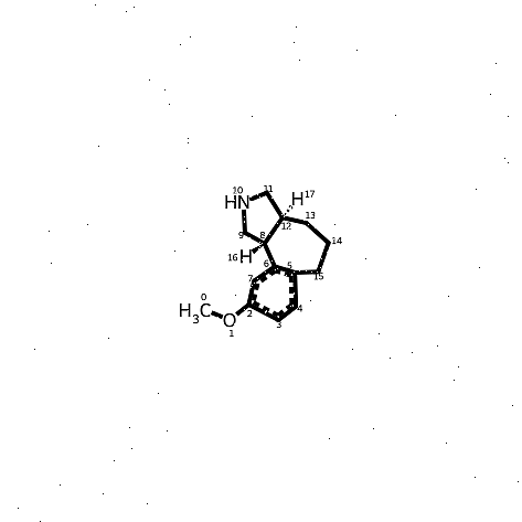 COc1ccc2c(c1)[C@@H]1CNC[C@H]1CCC2